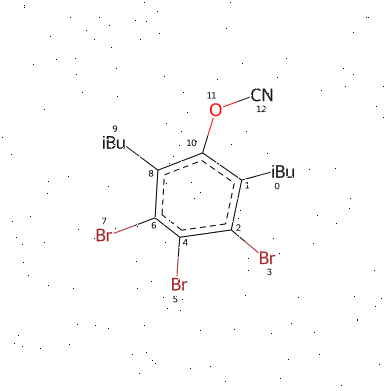 CCC(C)c1c(Br)c(Br)c(Br)c(C(C)CC)c1OC#N